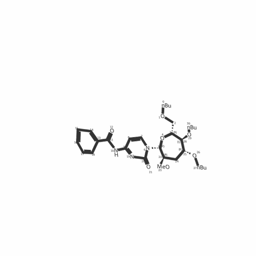 CCCCOC[C@H]1O[C@@H](n2ccc(NC(=O)c3ccccc3)nc2=O)[C@H](OC)C[C@@H](OCCCC)[C@@H]1OCCCC